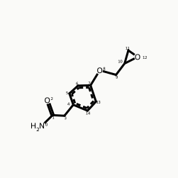 NC(=O)Cc1ccc(OCC2CO2)cc1